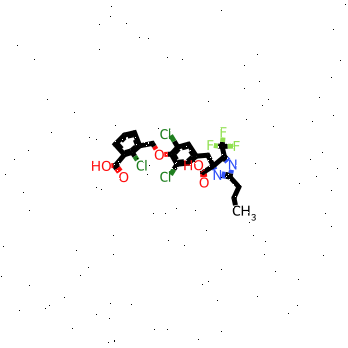 CCCC1=NC(Cc2cc(Cl)c(OCc3cccc(C(=O)O)c3Cl)c(Cl)c2)(C(=O)O)C(C(F)(F)F)=N1